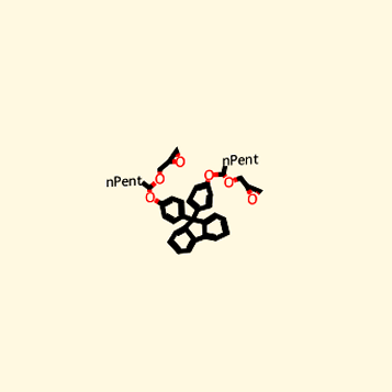 CCCCCC(OCC1CO1)Oc1ccc(C2(c3ccc(OC(CCCCC)OCC4CO4)cc3)c3ccccc3-c3ccccc32)cc1